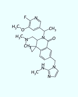 CNc1nccn1Cc1ccc2c(c1)C(=O)N(C(C)c1cnc(F)c(OC)c1)C(CN(C)C)C21CC1